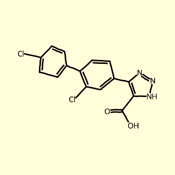 O=C(O)c1[nH]nnc1-c1ccc(-c2ccc(Cl)cc2)c(Cl)c1